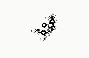 CNC(=O)c1ccc(Nc2nc(OC3CCCC3)c3c(-c4ccc(C(C)(C)C)cc4)c[nH]c3n2)c(OC)c1